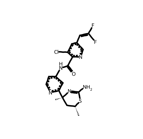 C[C@@H]1C[C@@](C)(c2cc(NC(=O)c3ncc(C=C(F)F)cc3Cl)ccn2)N=C(N)S1